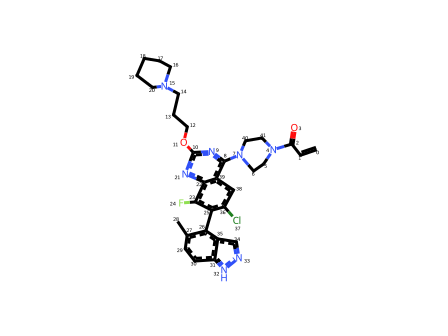 C=CC(=O)N1CCN(c2nc(OCCCN3CCCCC3)nc3c(F)c(-c4c(C)ccc5[nH]ncc45)c(Cl)cc23)CC1